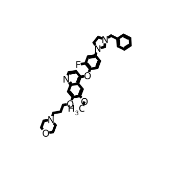 COc1cc2c(Oc3ccc(N4CCN(Cc5ccccc5)C4)cc3F)ccnc2cc1OCCCN1CCOCC1